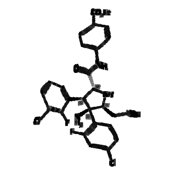 CCOC(=O)c1ccc(NC(=O)[C@@H]2N[C@@H](CC(C)(C)C)[C@](N)(c3ccc(Cl)cc3F)[C@H]2c2cccc(Cl)c2F)cc1